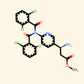 COC(=O)C[C@H](N)c1ccc(N(C(=O)c2c(Cl)cccc2Cl)C(=O)c2c(Cl)cccc2Cl)nc1